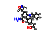 Cc1noc(C)c1-c1cc(C(N)=O)c2c3ccc(CC(C)O)cc3n(Cc3ccccc3)c2c1